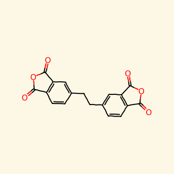 O=C1OC(=O)c2cc(CCc3ccc4c(c3)C(=O)OC4=O)ccc21